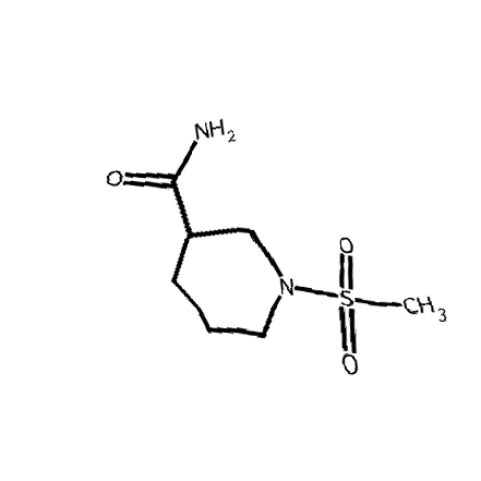 CS(=O)(=O)N1CCCC(C(N)=O)C1